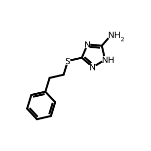 Nc1nc(SCCc2ccccc2)n[nH]1